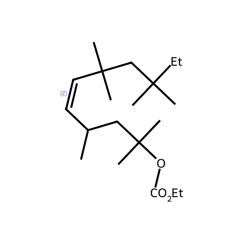 CCOC(=O)OC(C)(C)CC(C)/C=C\C(C)(C)CC(C)(C)CC